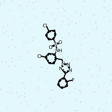 O=S(=O)(Nc1cc(Cl)ccc1Cn1nnc(-c2ccccc2F)n1)c1ccc(Cl)cc1